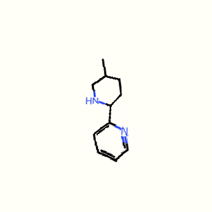 CC1CCC(c2ccccn2)NC1